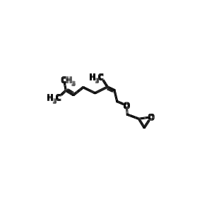 CC(C)=CCCC(C)=CCOCC1CO1